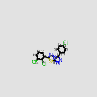 Clc1ccc(-c2nnc3sc(-c4cccc(Cl)c4Cl)nn23)cc1